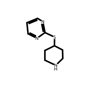 c1cnc(SC2CCNCC2)nc1